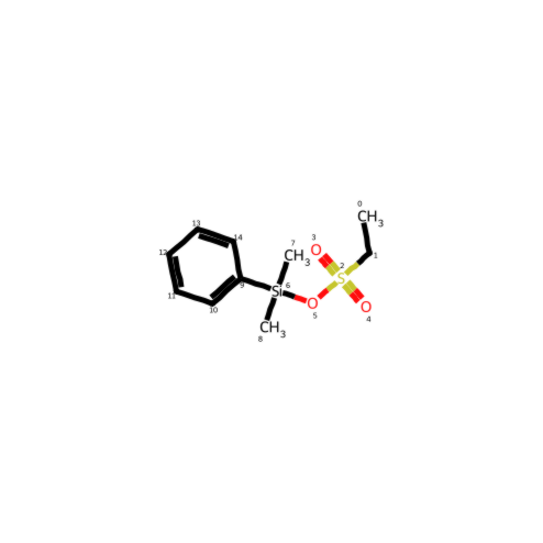 CCS(=O)(=O)O[Si](C)(C)c1ccccc1